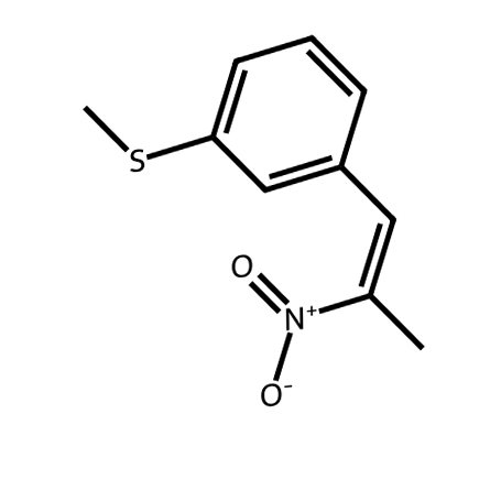 CSc1cccc(C=C(C)[N+](=O)[O-])c1